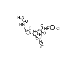 CC1(F)CN(C(=O)Cn2c(=O)c(C(=O)NCc3ccc(Cl)cc3)cc3nc(N4CCN(CCNC(=O)CN)C4=O)cnc32)C1